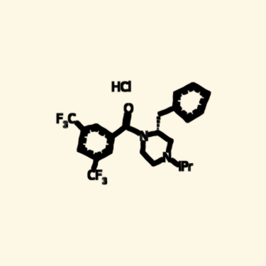 CC(C)N1CCN(C(=O)c2cc(C(F)(F)F)cc(C(F)(F)F)c2)[C@H](Cc2ccccc2)C1.Cl